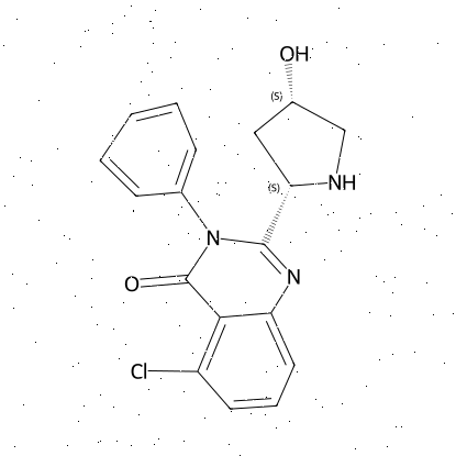 O=c1c2c(Cl)cccc2nc([C@@H]2C[C@H](O)CN2)n1-c1ccccc1